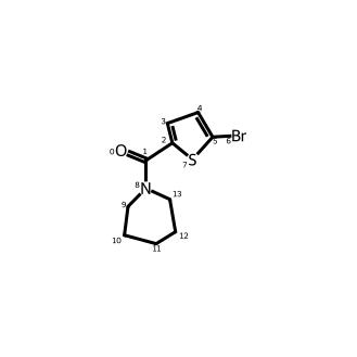 O=C(c1ccc(Br)s1)N1CCCCC1